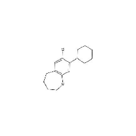 Clc1cc2c(cc1C1CCCCC1)OCCCC2